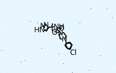 CC(C)(NS(=O)(=O)N1CCN(c2ccc(Cl)cc2)CC1)c1c[nH]nn1